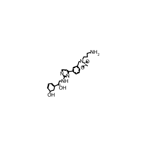 CS(=O)(=O)N(CCCN)Cc1cccc(-c2ccnc(NC[C@H](O)C3=CC=CC(O)C3)n2)c1